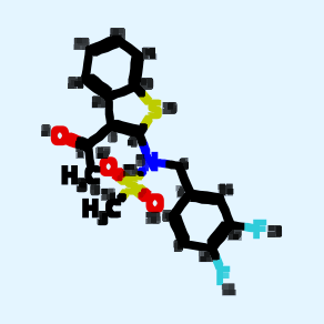 CC(=O)c1c(N(Cc2ccc(F)c(F)c2)S(C)(=O)=O)sc2ccccc12